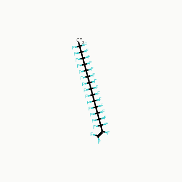 FC(F)=C(F)C(F)(F)C(F)(F)C(F)(F)C(F)(F)C(F)(F)C(F)(F)C(F)(F)C(F)(F)C(F)(F)C(F)(F)C(F)(F)C(F)(F)C(F)(F)C(F)(F)C(F)(F)F